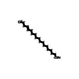 CC(=O)OCCCCCCCCCCCCC/C=C/CCCl